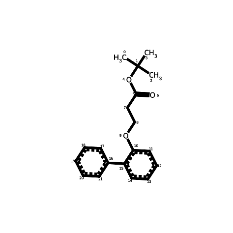 CC(C)(C)OC(=O)CCOc1ccccc1-c1ccccc1